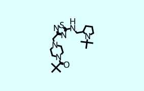 CC(C)(C)C(=O)N1CCN(Cc2nsc(NCC3CCCN3C(C)(C)C)n2)CC1